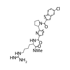 CNC(=O)C(CCCCNC(=N)N)NC(=O)c1csc(C2CCCN2C(=O)c2cc3cc(Cl)ccc3s2)n1